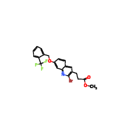 COC(=O)CCc1cc2ccc(OCc3ccccc3C(F)(F)F)cc2nc1Br